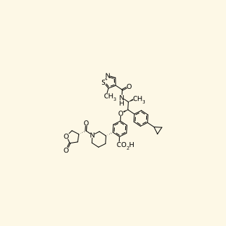 Cc1sncc1C(=O)N[C@@H](C)[C@H](Oc1ccc(C(=O)O)c([C@@H]2CCCN(C(=O)[C@H]3COC(=O)C3)C2)c1)c1ccc(C2CC2)cc1